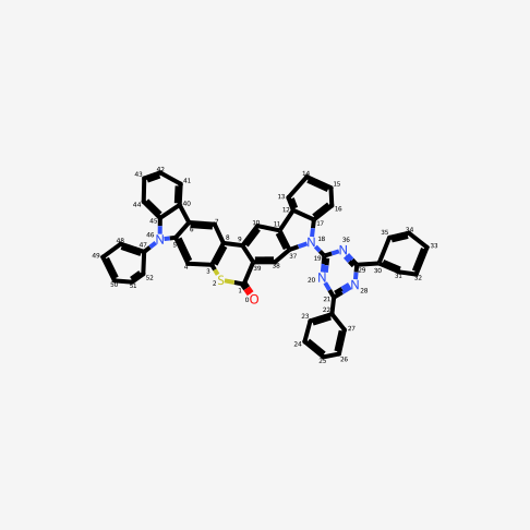 O=c1sc2cc3c(cc2c2cc4c5ccccc5n(-c5nc(-c6ccccc6)nc(-c6ccccc6)n5)c4cc12)c1ccccc1n3-c1ccccc1